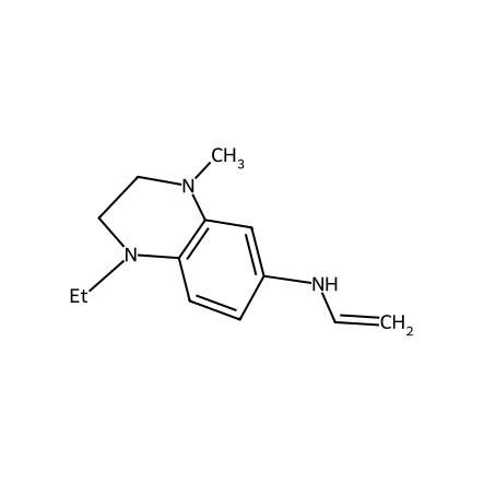 C=CNc1ccc2c(c1)N(C)CCN2CC